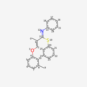 CC(=C\Oc1cccc(C)c1)/C(=N/c1ccccc1)Sc1ccccc1